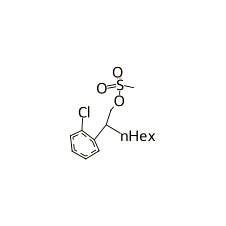 CCCCCCC(COS(C)(=O)=O)c1ccccc1Cl